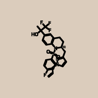 C=CCn1ccc(C[C@@H]2CCc3cc(C(C)(O)C(F)(F)F)ccc3N2S(=O)(=O)c2ccc(F)cc2)n1